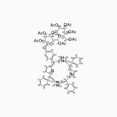 CC(=O)OCC1O[C@@H](Oc2ccc(-c3c4nc(c(-c5ccccc5)c5ccc([nH]5)c(-c5ccccc5)c5nc(c(-c6ccccc6)c6ccc3[nH]6)C=C5)C=C4)cc2)C(OC(C)=O)C(OC(C)=O)[C@@H]1O[C@@H]1OC(COC(C)=O)[C@H](OC(C)=O)C(OC(C)=O)C1OC(C)=O